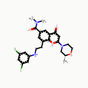 C[C@@H]1CN(c2cc(=O)c3cc(C(=O)N(C)C)cc(CCNc4cc(F)cc(F)c4)c3o2)CCO1